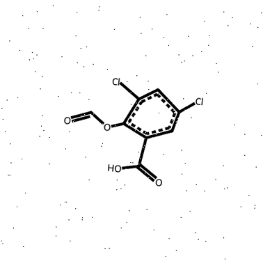 O=COc1c(Cl)cc(Cl)cc1C(=O)O